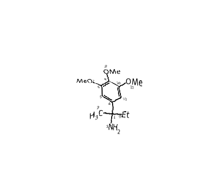 CCC(C)(N)c1cc(OC)c(OC)c(OC)c1